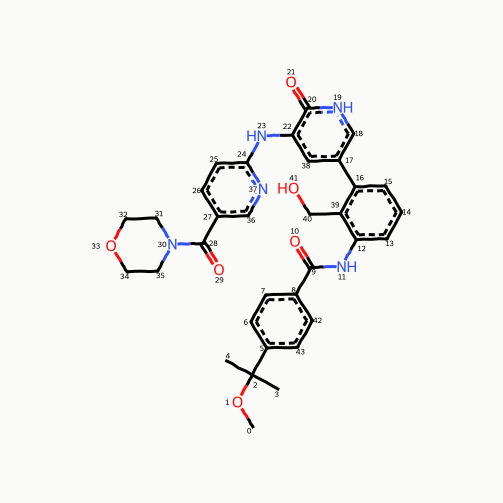 COC(C)(C)c1ccc(C(=O)Nc2cccc(-c3c[nH]c(=O)c(Nc4ccc(C(=O)N5CCOCC5)cn4)c3)c2CO)cc1